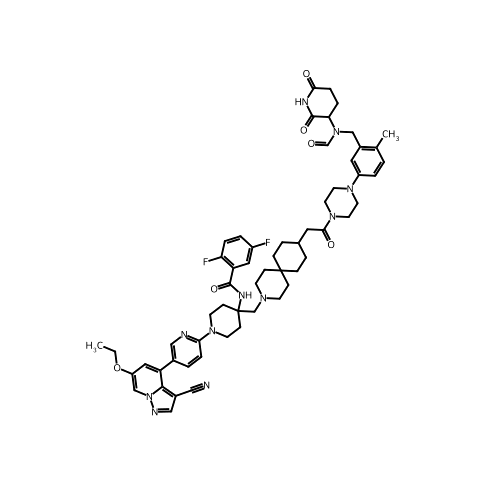 CCOc1cc(-c2ccc(N3CCC(CN4CCC5(CCC(CC(=O)N6CCN(c7ccc(C)c(CN(C=O)C8CCC(=O)NC8=O)c7)CC6)CC5)CC4)(NC(=O)c4cc(F)ccc4F)CC3)nc2)c2c(C#N)cnn2c1